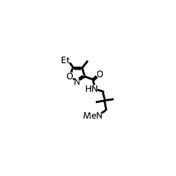 CCc1onc(C(=O)NCC(C)(C)CNC)c1C